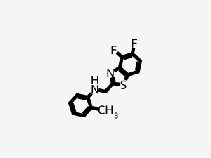 Cc1ccccc1NCc1nc2c(F)c(F)ccc2s1